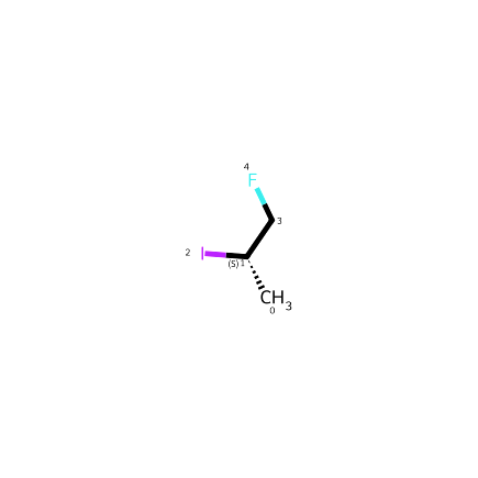 C[C@H](I)CF